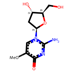 COc1cn([C@H]2C[C@H](O)[C@@H](CO)O2)c(N)nc1=O